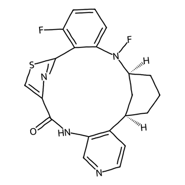 O=C1Nc2cnccc2[C@@H]2CCC[C@@H](C2)N(F)c2cccc(F)c2-c2nc1cs2